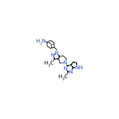 Cc1nc(N2CCc3c(c(C)nn3CC34CCC(N)(CC3)CC4)C2)c2cc[nH]c2n1